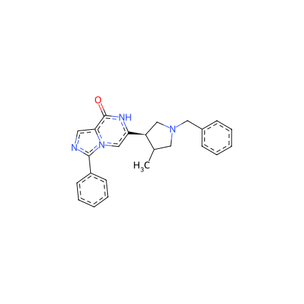 CC1CN(Cc2ccccc2)C[C@@H]1c1cn2c(-c3ccccc3)ncc2c(=O)[nH]1